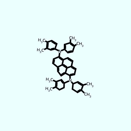 CC1=CCC(N(C2=CC(C)=C(C)CC2)c2ccc3ccc4c(N(c5ccc(C)c(C)c5)c5ccc(C)c(C)c5)ccc5ccc2c3c54)C=C1C